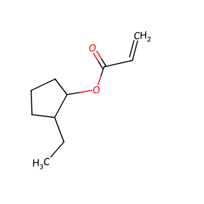 C=CC(=O)OC1CCCC1CC